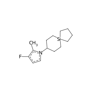 Cc1c(F)ccn1C1CC[Si]2(CCCC2)CC1